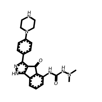 CN(C)NC(=O)Nc1cccc2c1C(=O)c1c(-c3ccc(N4CCNCC4)cc3)n[nH]c1-2